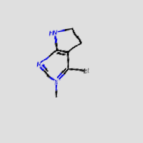 CCc1c2c(nc[n+]1C)NCC2